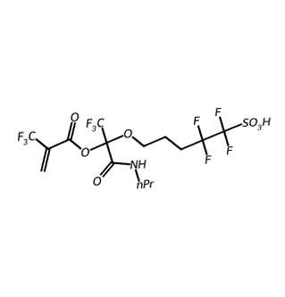 C=C(C(=O)OC(OCCCC(F)(F)C(F)(F)S(=O)(=O)O)(C(=O)NCCC)C(F)(F)F)C(F)(F)F